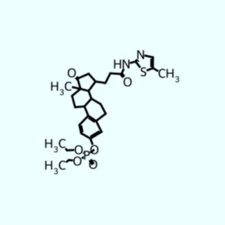 CCOP(=O)(OCC)Oc1ccc2c(c1)CCC1C2CCC2(C)C(=O)CC(CCC(=O)Nc3ncc(C)s3)C12